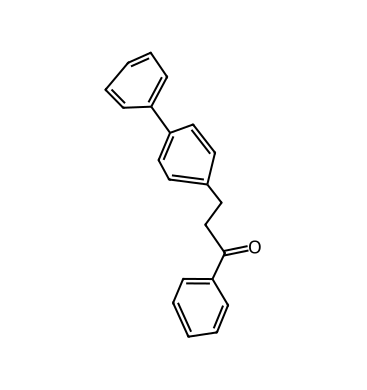 O=C(CCc1ccc(-c2ccccc2)cc1)c1ccccc1